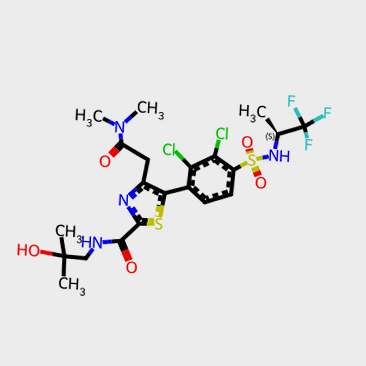 C[C@H](NS(=O)(=O)c1ccc(-c2sc(C(=O)NCC(C)(C)O)nc2CC(=O)N(C)C)c(Cl)c1Cl)C(F)(F)F